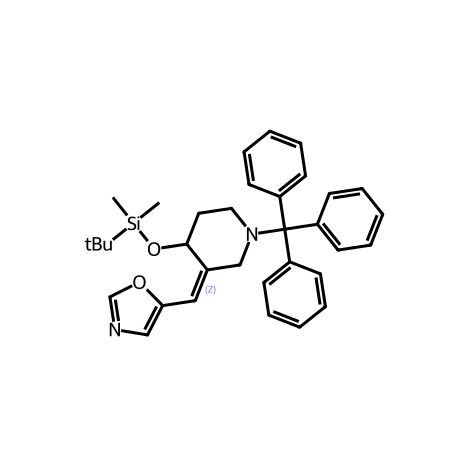 CC(C)(C)[Si](C)(C)OC1CCN(C(c2ccccc2)(c2ccccc2)c2ccccc2)C/C1=C/c1cnco1